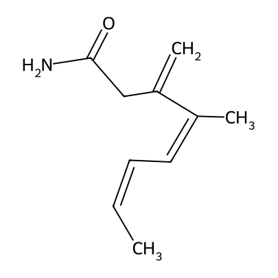 C=C(CC(N)=O)/C(C)=C\C=C/C